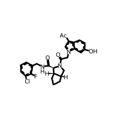 CC(=O)c1cn(CC(=O)N2C[C@@H]3CCC[C@@H]3[C@H]2C(=O)NCc2cccc(Cl)c2F)c2cc(O)ccc12